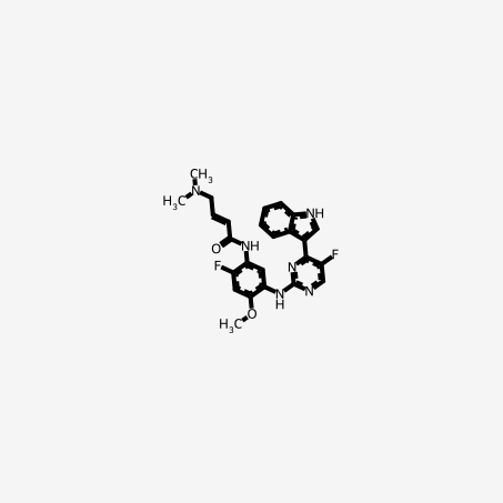 COc1cc(F)c(NC(=O)/C=C/CN(C)C)cc1Nc1ncc(F)c(-c2c[nH]c3ccccc23)n1